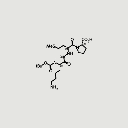 CSCC[C@H](N[Se]C(=O)[C@H](CCCCN)NC(=O)OC(C)(C)C)C(=O)N1CCC[C@H]1C(=O)O